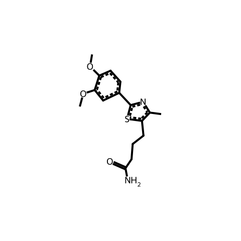 COc1ccc(-c2nc(C)c(CCCC(N)=O)s2)cc1OC